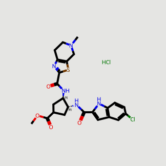 COC(=O)C1C[C@@H](NC(=O)c2cc3cc(Cl)ccc3[nH]2)[C@H](NC(=O)c2nc3c(s2)CN(C)CC3)C1.Cl